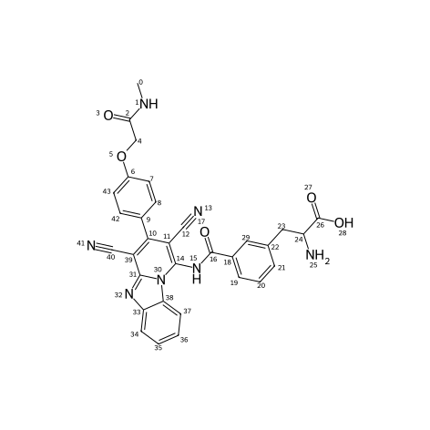 CNC(=O)COc1ccc(-c2c(C#N)c(NC(=O)c3cccc(CC(N)C(=O)O)c3)n3c(nc4ccccc43)c2C#N)cc1